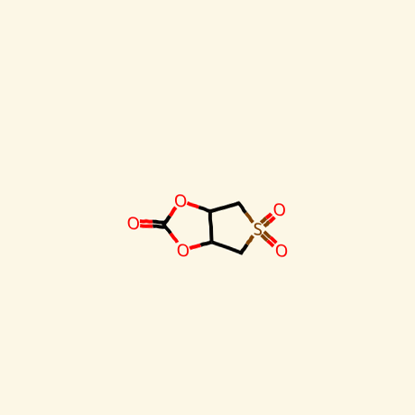 O=C1OC2CS(=O)(=O)CC2O1